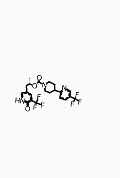 C[C@@H](Cc1c[nH]c(=O)c(C(F)(F)F)c1)OC(=O)N1CCC(c2ccc(C(F)(F)F)cn2)CC1